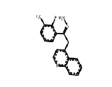 N/N=C(/Cc1ccnc2ccccc12)c1cccc(C(F)(F)F)c1F